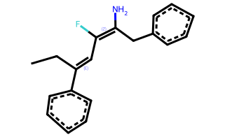 CC/C(=C\C(F)=C(\N)Cc1ccccc1)c1ccccc1